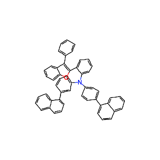 c1ccc(-c2c(-c3ccccc3N(c3ccc(-c4cccc5ccccc45)cc3)c3cccc(-c4cccc5ccccc45)c3)oc3ccccc23)cc1